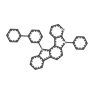 c1ccc(-c2cccc(-n3c4ccccc4c4ccc5c(c6cccnc6n5-c5ccccc5)c43)c2)cc1